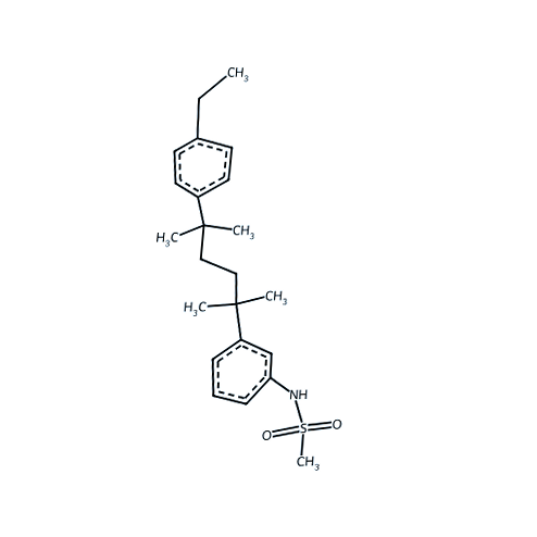 CCc1ccc(C(C)(C)CCC(C)(C)c2cccc(NS(C)(=O)=O)c2)cc1